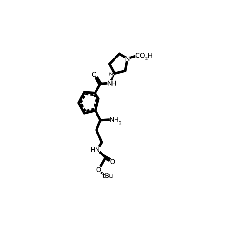 CC(C)(C)OC(=O)NCCC(N)c1cccc(C(=O)N[C@H]2CCN(C(=O)O)C2)c1